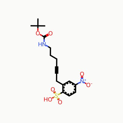 CC(C)(C)OC(=O)NCCCC#CCc1cc([N+](=O)[O-])ccc1S(=O)(=O)O